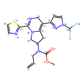 C=CCN(C(=O)OC)C1CC2=C(c3ccn(C(F)F)n3)CN=C(c3nccs3)N2C1